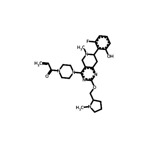 C=CC(=O)N1CCN(c2nc(OCC3CCCN3C)nc3c2CN(C)C(c2c(O)cccc2F)C3)CC1